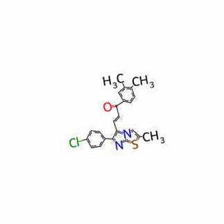 Cc1cn2c(/C=C/C(=O)c3ccc(C)c(C)c3)c(-c3ccc(Cl)cc3)nc2s1